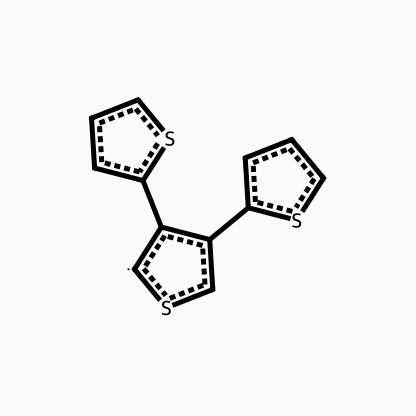 [c]1scc(-c2cccs2)c1-c1cccs1